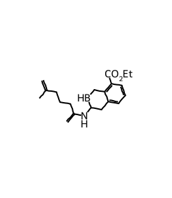 C=C(C)CCCC(=C)NC1BCc2c(cccc2C(=O)OCC)C1